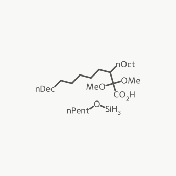 CCCCCCCCCCCCCCCC(CCCCCCCC)C(OC)(OC)C(=O)O.CCCCCO[SiH3]